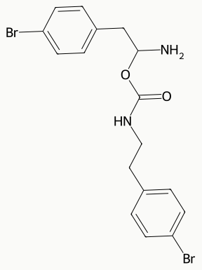 NC(Cc1ccc(Br)cc1)OC(=O)NCCc1ccc(Br)cc1